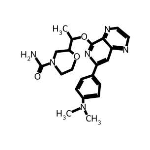 CC(Oc1nc(-c2ccc(N(C)C)cc2)cc2nccnc12)C1CN(C(N)=O)CCO1